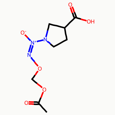 CC(=O)OCO/N=[N+](/[O-])N1CCC(C(=O)O)C1